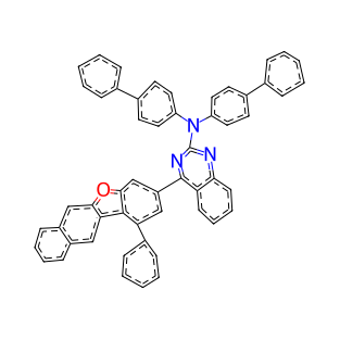 c1ccc(-c2ccc(N(c3ccc(-c4ccccc4)cc3)c3nc(-c4cc(-c5ccccc5)c5c(c4)oc4cc6ccccc6cc45)c4ccccc4n3)cc2)cc1